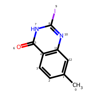 Cc1ccc2c(=O)[nH]c(I)nc2c1